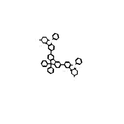 CCC1CCC2(C)N(c3ccccc3)c3ccc(-c4ccc5c(c4)-c4cc(-c6ccc7c(c6)C6(C)CC(CC)CCC6(C)N7c6ccccc6)ccc4C5(c4ccccc4)c4ccccc4)cc3C2(C)C1